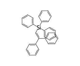 C(=C(c1ccccc1)c1ccccc1)[Si](c1ccccc1)(c1ccccc1)c1ccccc1